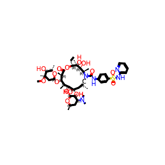 CC[C@H]1OC(=O)[C@H](C)[C@@H](O[C@H]2C[C@@](C)(OC)[C@@H](O)[C@H](C)O2)[C@H](C)[C@@H](O[C@@H]2O[C@H](C)C[C@H](N(C)C)[C@H]2O)[C@](C)(O)C[C@@H](C)CN(C(=O)Nc2ccc(S(=O)(=O)Nc3ccccn3)cc2)[C@H](C)[C@@H](O)[C@]1(C)O